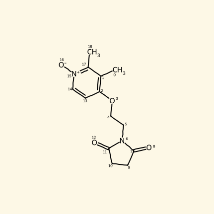 Cc1c(OCCN2C(=O)CCC2=O)cc[n+]([O-])c1C